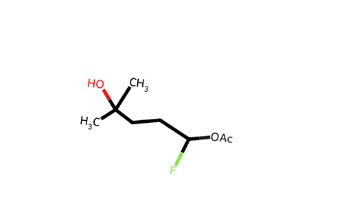 CC(=O)OC(F)CCC(C)(C)O